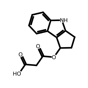 O=C(O)CC(=O)OC1CCc2[nH]c3ccccc3c21